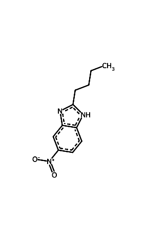 CCCCc1nc2cc([N+](=O)[O-])ccc2[nH]1